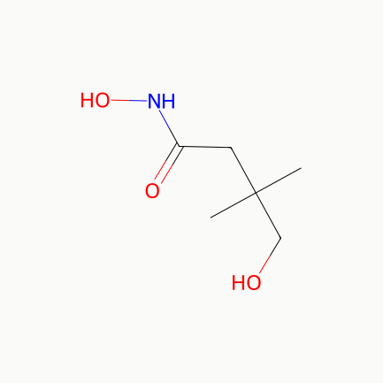 CC(C)(CO)CC(=O)NO